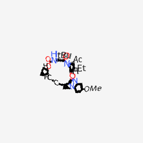 CC[C@@H]1[C@@H]2CN(C(=O)[C@H](C(C)(C)C)NC(=O)O[C@@H]3CC4CC4[C@H]3CCCCC3(CC3)c3nc4ccc(OC)cc4nc3O2)[C@@H]1C(C)=O